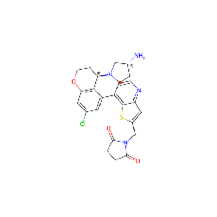 N[C@@H]1CCN([C@@H]2CCOc3cc(Cl)cc(-c4ccnc5cc(CN6C(=O)CCC6=O)sc45)c32)C1